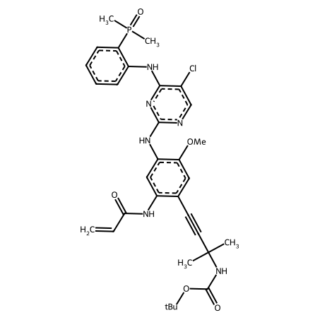 C=CC(=O)Nc1cc(Nc2ncc(Cl)c(Nc3ccccc3P(C)(C)=O)n2)c(OC)cc1C#CC(C)(C)NC(=O)OC(C)(C)C